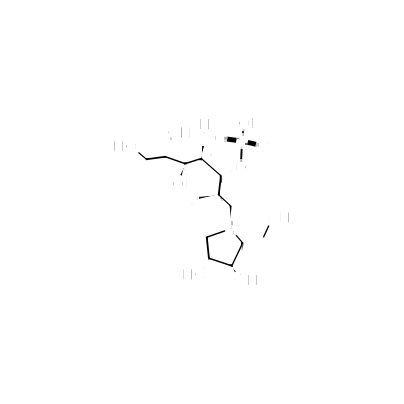 O=S(=O)(O)O[C@@H]([C@H](O)[C@@H](O)[C@@H](O)CO)[C@H](O)C[S@+]1C[C@@H](O)[C@H](O)[C@H]1CO